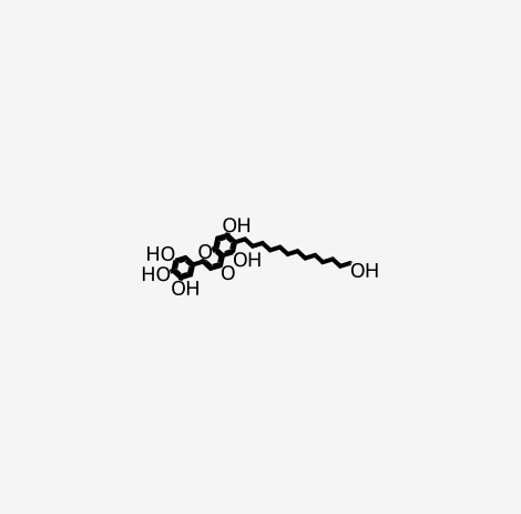 O=c1cc(-c2cc(O)c(O)c(O)c2)oc2cc(O)c(CCCCCCCCCCCCCO)c(O)c12